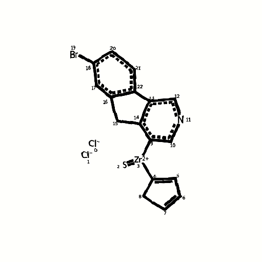 [Cl-].[Cl-].[S]=[Zr+2]([C]1=CC=CC1)[c]1cncc2c1Cc1cc(Br)ccc1-2